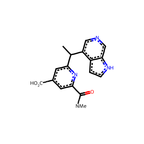 CNC(=O)c1cc(C(=O)O)cc(C(C)c2cncc3[nH]ccc23)n1